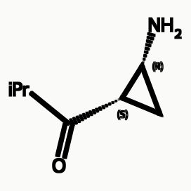 CC(C)C(=O)[C@H]1C[C@H]1N